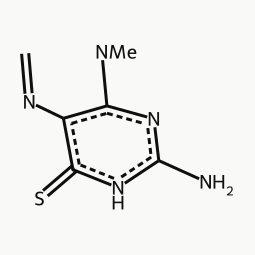 C=Nc1c(NC)nc(N)[nH]c1=S